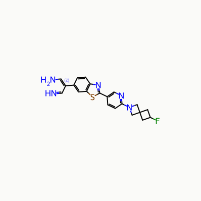 N=C/C(=C\N)c1ccc2nc(-c3ccc(N4CC5(CC(F)C5)C4)nc3)sc2c1